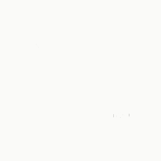 CCCCCCCCCCCCCCCCCCCCS